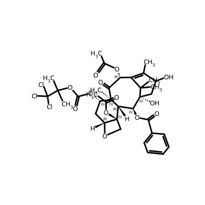 CC(=O)O[C@H]1C(=O)[C@]2(C)[C@@H](OC(=O)OC(C)(C)C(Cl)(Cl)Cl)C[C@H]3OC[C@@]3(OC(C)=O)[C@H]2[C@H](OC(=O)c2ccccc2)[C@]2(O)CC(O)C(C)=C1C2(C)C